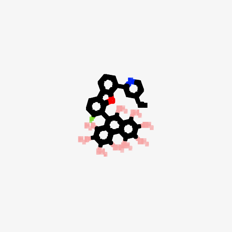 Bc1c(B)c(B)c2c(c1B)c(B)c(-c1c(F)ccc3c1oc1c(-c4cc(C(C)(C)C)ccn4)cccc13)c1c(B)c(B)c(B)c(B)c12